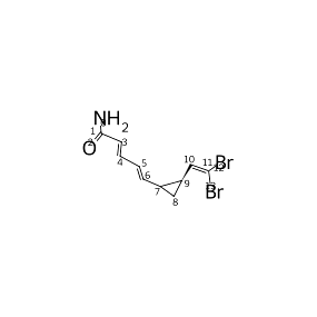 NC(=O)C=CC=CC1C[C@@H]1C=C(Br)Br